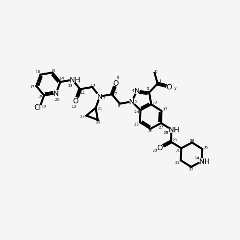 CC(=O)c1nn(CC(=O)N(CC(=O)Nc2cccc(Cl)n2)C2CC2)c2ccc(NC(=O)C3CCNCC3)cc12